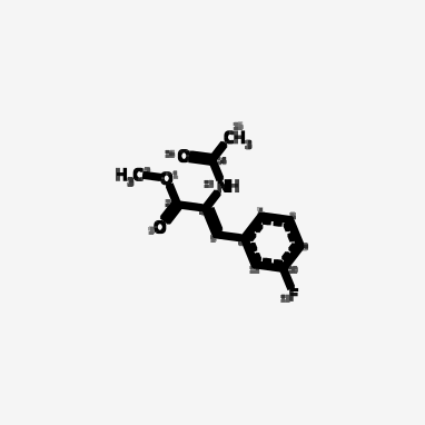 COC(=O)C(=Cc1cccc(F)c1)NC(C)=O